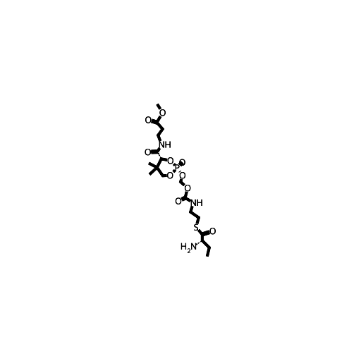 CC[C@H](N)C(=O)SCCNC(=O)OCOP1(=O)OCC(C)(C)[C@H](C(=O)NCCC(=O)OC)O1